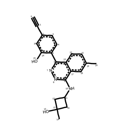 C#Cc1ccc(-c2nnc(NC3CC(C)(O)C3)c3cc(C)ccc23)c(O)c1